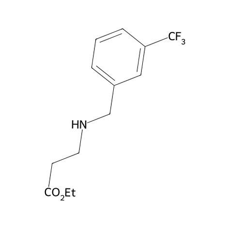 CCOC(=O)CCNCc1cccc(C(F)(F)F)c1